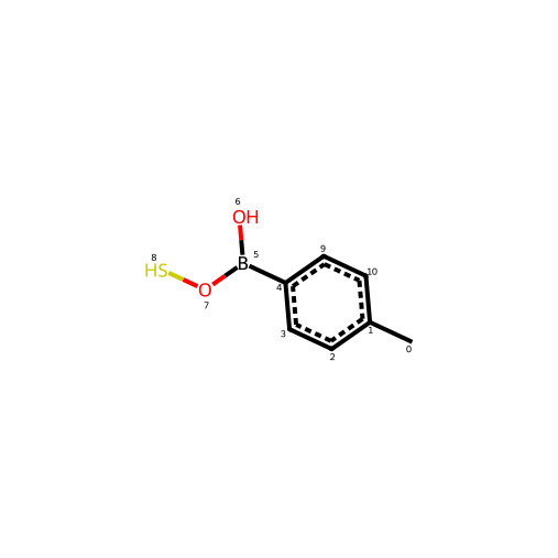 Cc1ccc(B(O)OS)cc1